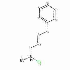 CC[SiH](Cl)CC=CCc1ccccc1